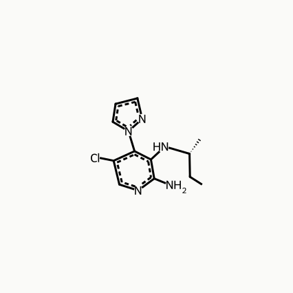 CC[C@@H](C)Nc1c(N)ncc(Cl)c1-n1cccn1